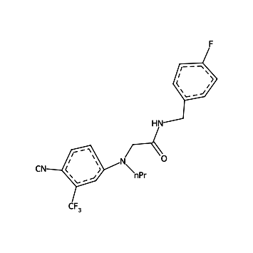 [C-]#[N+]c1ccc(N(CCC)CC(=O)NCc2ccc(F)cc2)cc1C(F)(F)F